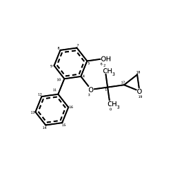 CC(C)(Oc1c(O)cccc1-c1ccccc1)C1CO1